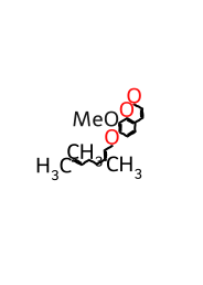 COc1c(OC/C=C(\C)CCC=C(C)C)ccc2ccc(=O)oc12